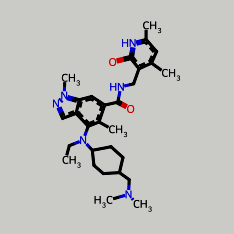 CCN(c1c(C)c(C(=O)NCc2c(C)cc(C)[nH]c2=O)cc2c1cnn2C)C1CCC(CN(C)C)CC1